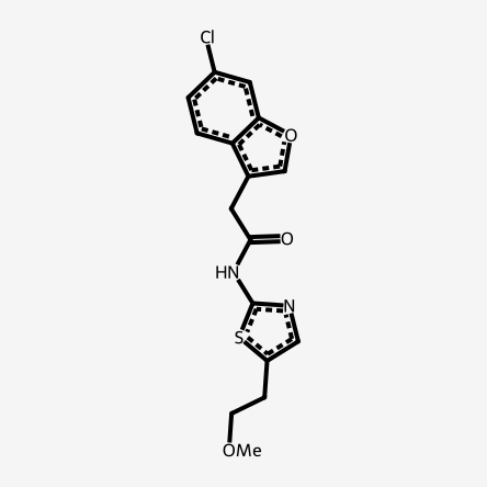 COCCc1cnc(NC(=O)Cc2coc3cc(Cl)ccc23)s1